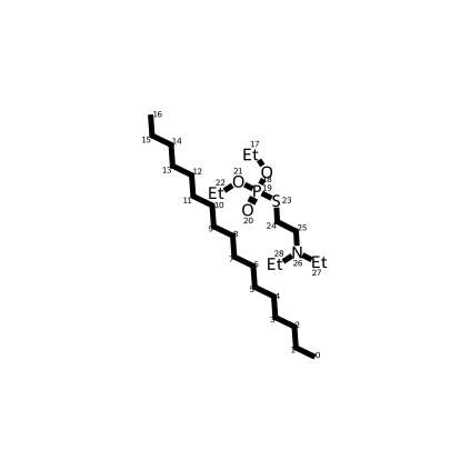 CCCCCCCCCCCCCCCCC.CCOP(=O)(OCC)SCCN(CC)CC